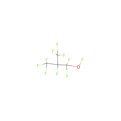 FOC(F)(F)C(F)(C(F)(F)F)C(F)(F)F